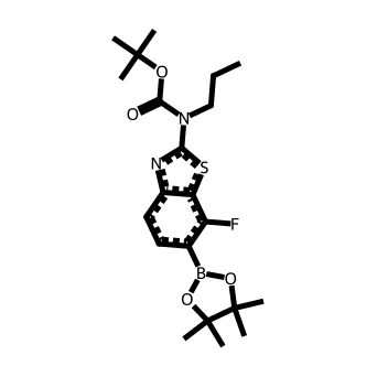 CCCN(C(=O)OC(C)(C)C)c1nc2ccc(B3OC(C)(C)C(C)(C)O3)c(F)c2s1